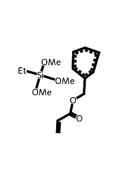 C=CC(=O)OCc1ccccc1.CC[Si](OC)(OC)OC